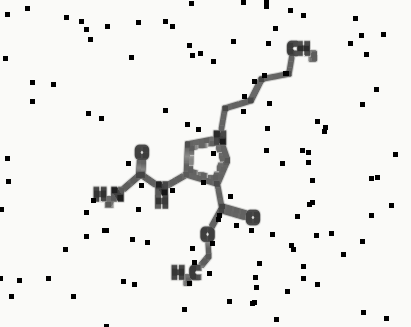 CCCCCn1cc(NC(N)=O)c(C(=O)OCC)c1